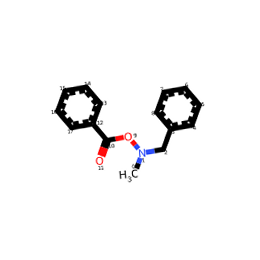 CN(Cc1ccccc1)OC(=O)c1ccccc1